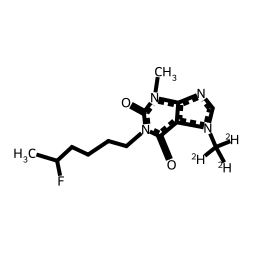 [2H]C([2H])([2H])n1cnc2c1c(=O)n(CCCCC(C)F)c(=O)n2C